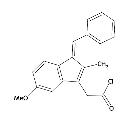 COc1ccc2c(c1)C(CC(=O)Cl)=C(C)C2=Cc1ccccc1